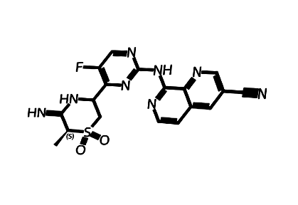 C[C@H]1C(=N)NC(c2nc(Nc3nccc4cc(C#N)cnc34)ncc2F)CS1(=O)=O